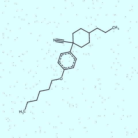 CCCCCCOc1ccc(C2(C#N)CCC(CCC)CC2)cc1